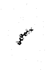 O=C(NCC(F)(F)F)c1cc(-c2cnn3cc(-c4ccc[nH]4)cnc23)cs1